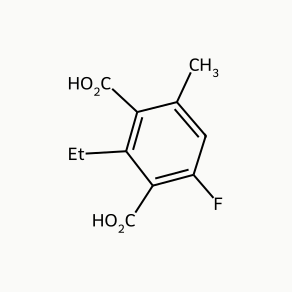 CCc1c(C(=O)O)c(C)cc(F)c1C(=O)O